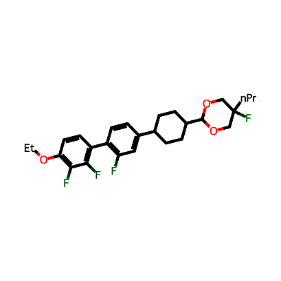 CCCC1(F)COC(C2CCC(c3ccc(-c4ccc(OCC)c(F)c4F)c(F)c3)CC2)OC1